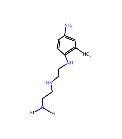 CCN(CC)CCNCCNc1ccc(N)cc1[N+](=O)[O-]